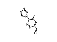 Cc1cc(C=O)nnc1-n1cnnn1